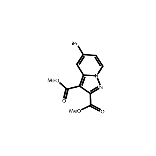 COC(=O)c1nn2ccc(C(C)C)cc2c1C(=O)OC